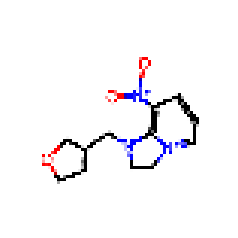 O=[N+]([O-])c1ccc[n+]2c1N(CC1CCOC1)CC2